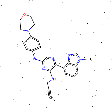 C#CCNc1nc(Nc2ccc(N3CCOCC3)cc2)cnc1-c1cccc2c1ncn2C